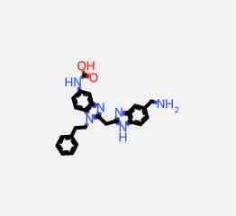 NCc1ccc2[nH]c(Cc3nc4cc(NC(=O)O)ccc4n3CCc3ccccc3)nc2c1